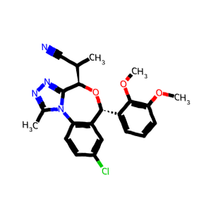 COc1cccc([C@H]2O[C@H](C(C)C#N)c3nnc(C)n3-c3ccc(Cl)cc32)c1OC